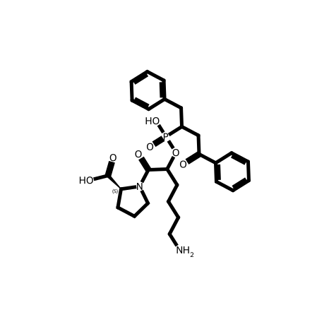 NCCCCC(OP(=O)(O)C(CC(=O)c1ccccc1)Cc1ccccc1)C(=O)N1CCC[C@H]1C(=O)O